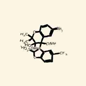 COC1(N2c3cc(C(F)(F)F)ccc3OC2S(=O)(=O)O)c2cc(N)ccc2OC(C)(C)C1(O)OC